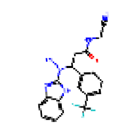 N#CCNC(=O)CC(C1=CC(C(F)(F)F)=CCC1)N(N)c1nc2ccccc2[nH]1